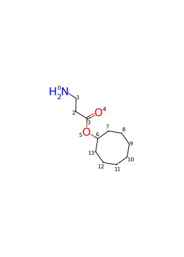 NCCC(=O)OC1CCCCCCC1